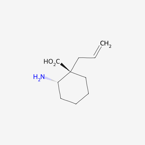 C=CC[C@]1(C(=O)O)CCCC[C@@H]1N